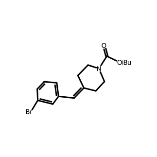 CC(C)COC(=O)N1CCC(=Cc2cccc(Br)c2)CC1